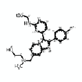 CN(CCO)Cc1ccn2c(-c3ccnc(NCC(C)(C)C)n3)c(-c3ccc(F)cc3)nc2c1